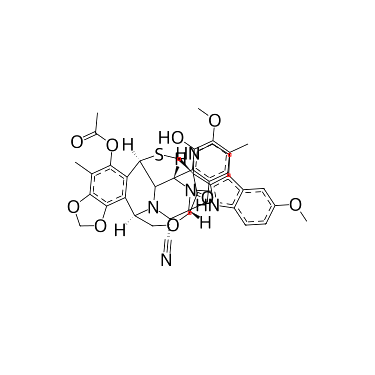 COc1ccc2[nH]c3c(c2c1)CCN[C@]31CS[C@@H]2c3c(OC(C)=O)c(C)c4c(c3[C@H](COCC1=O)N1C2[C@@H]2c3c(cc(C)c(OC)c3O)C[C@H]([C@@H]1C#N)N2C)OCO4